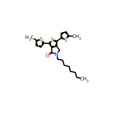 CCCCCCCCN1Cc2c(-c3ccc(C)s3)sc(-c3ccc(C)s3)c2C1=O